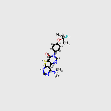 CCN(C)c1ncnc2sc3c(=O)n(-c4ccc(OC(C)(C)F)cc4)cnc3c12